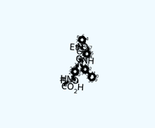 CCN(c1ccccc1)S(=O)(=O)c1cc(NC(=O)N(Cc2ccc(C(=O)NCC(F)C(=O)O)cc2)c2ccc(C3=CCCCC3)cc2)ccc1C